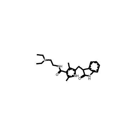 CCN(CC)CCNC(=O)c1c(C)[nH]c(CC2C(=O)Nc3ccccc32)c1C